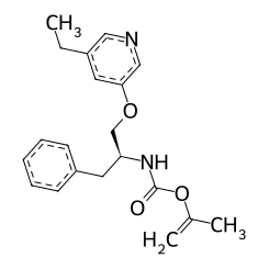 C=C(C)OC(=O)N[C@H](COc1cncc(CC)c1)Cc1ccccc1